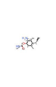 C#CCc1c(C)cc(OC(=O)NC)c(N)c1C